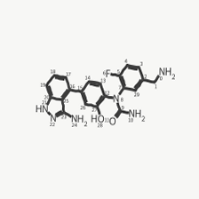 NCc1ccc(F)c(N(C(N)=O)c2ccc(-c3cccc4[nH]nc(N)c34)cc2O)c1